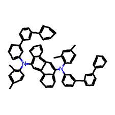 Cc1ccc(N(c2cccc(-c3cccc(-c4ccccc4)c3)c2)c2cc3c4ccccc4c(N(c4cccc(-c5cccc(-c6ccccc6)c5)c4)c4ccc(C)cc4C)cc3c3ccccc23)c(C)c1